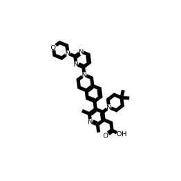 Cc1nc(C)c(-c2ccc3c(c2)CCN(c2ccnc(N4CCOCC4)n2)C3)c(N2CCC(C)(C)CC2)c1CC(=O)O